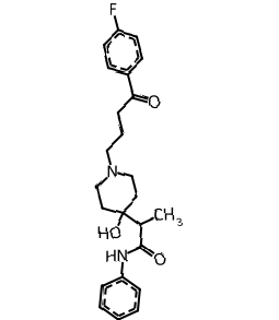 CC(C(=O)Nc1ccccc1)C1(O)CCN(CCCC(=O)c2ccc(F)cc2)CC1